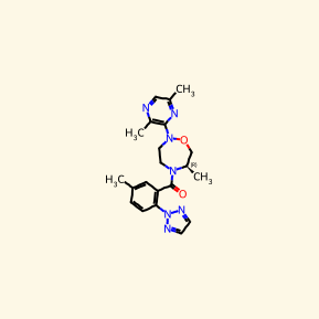 Cc1ccc(-n2nccn2)c(C(=O)N2CCN(c3nc(C)cnc3C)OC[C@H]2C)c1